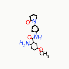 COC1CCC(N)C(C(=O)Nc2ccc(-n3ccccc3=O)cc2)C1